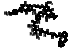 COc1ccc(C2=CN3C(=O)c4cc(OC)c(OCCCOc5cc6c(cc5OC)C(=O)N5CC7(CC7)C[C@H]5[C@@H](O)N6C(=O)OCc5ccc(NC(=O)[C@H](C)NC(=O)[C@@H](NC(=O)CNC(=O)CNC(=O)CCC(=O)N6Cc7ccccc7C#Cc7ccccc76)C(C)C)cc5)cc4NC[C@@H]3C2)cc1